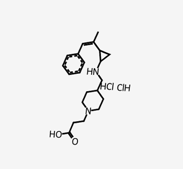 CC(=Cc1ccccc1)C1CC1NCC1CCN(CCC(=O)O)CC1.Cl.Cl